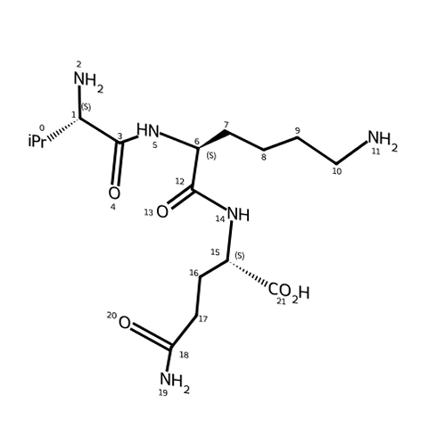 CC(C)[C@H](N)C(=O)N[C@@H](CCCCN)C(=O)N[C@@H](CCC(N)=O)C(=O)O